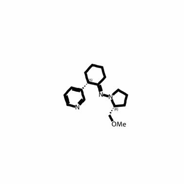 COC[C@H]1CCCN1N=C1CCCC[C@H]1c1cccnc1